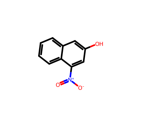 O=[N+]([O-])c1cc(O)cc2ccccc12